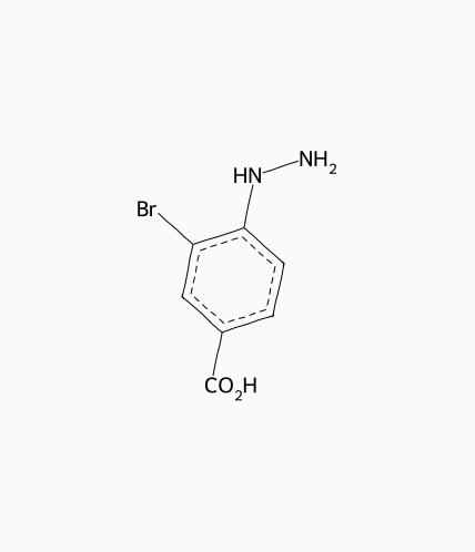 NNc1ccc(C(=O)O)cc1Br